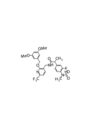 COc1cc(COc2nc(C(F)(F)F)ccc2CNC(=O)C(C)c2ccc(N(C)[SH](=O)=O)c(F)c2)cc(OC)c1